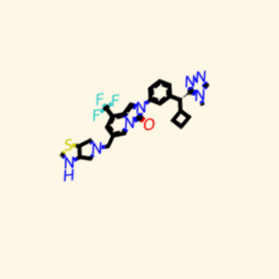 Cn1cnnc1[C@@H](c1cccc(-n2cc3c(C(F)(F)F)cc(CN4CC5NCSC5C4)cn3c2=O)c1)C1CCC1